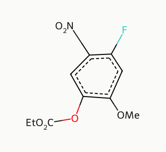 CCOC(=O)Oc1cc([N+](=O)[O-])c(F)cc1OC